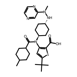 CC1CCC(C(=O)N(c2cc(C(C)(C)C)sc2C(=O)O)[C@H]2CC[C@H](NN(C)c3cnccn3)CC2)CC1